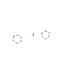 O=C(Nc1ccc(Br)c(Cl)c1)OCc1ccccc1